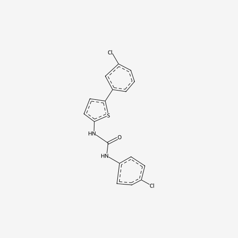 O=C(Nc1ccc(Cl)cc1)Nc1ccc(-c2cccc(Cl)c2)s1